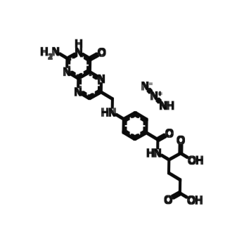 Nc1nc2ncc(CNc3ccc(C(=O)NC(CCC(=O)O)C(=O)O)cc3)nc2c(=O)[nH]1.[N-]=[N+]=N